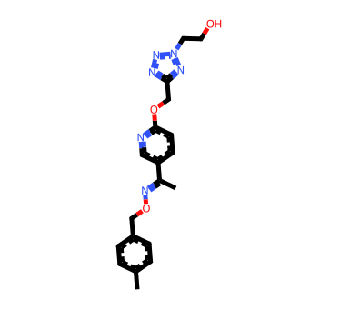 C/C(=N\OCc1ccc(C)cc1)c1ccc(OCc2nnn(CCO)n2)nc1